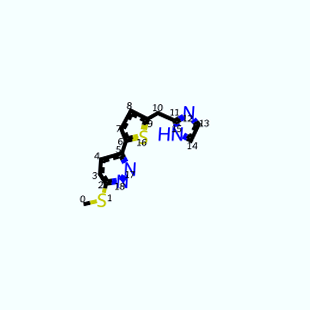 CSc1ccc(-c2ccc(Cc3ncc[nH]3)s2)nn1